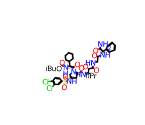 CCCC(NC(=O)[C@@H]1C[C@@H](NS(=O)(=O)c2ccc(Cl)c(Cl)c2)CN1C(=O)[C@@H](NC(=O)OCC(C)C)C1CCCCC1)C(=O)C(=O)NCC(=O)N[C@H](C(N)=O)c1ccccc1